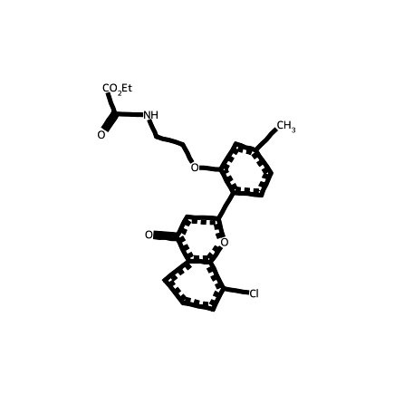 CCOC(=O)C(=O)NCCOc1cc(C)ccc1-c1cc(=O)c2cccc(Cl)c2o1